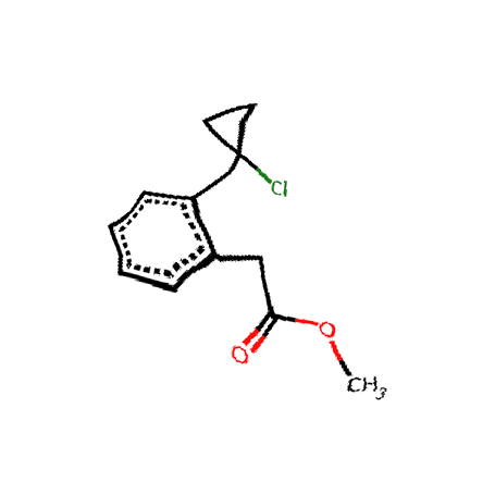 COC(=O)Cc1ccccc1C1(Cl)CC1